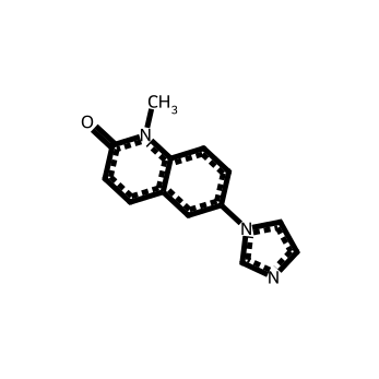 Cn1c(=O)ccc2cc(-n3ccnc3)ccc21